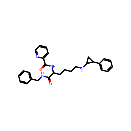 O=C(NC(CCCCNC1CC1c1ccccc1)C(=O)NCc1ccccc1)c1ccccn1